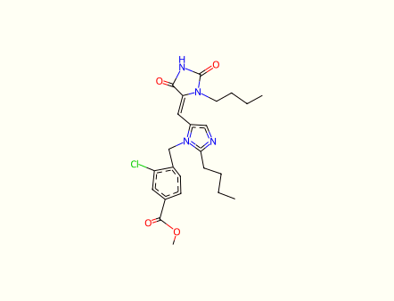 CCCCc1ncc(C=C2C(=O)NC(=O)N2CCCC)n1Cc1ccc(C(=O)OC)cc1Cl